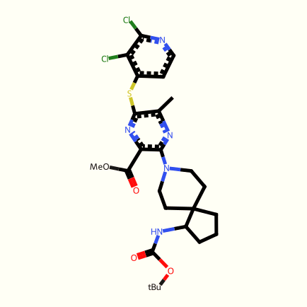 COC(=O)c1nc(Sc2ccnc(Cl)c2Cl)c(C)nc1N1CCC2(CCCC2NC(=O)OC(C)(C)C)CC1